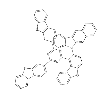 C1=CC(c2nc(-c3ccc4c(c3)oc3ccccc34)nc(-c3c(-n4c5ccccc5c5cc6ccccc6cc54)ccc4oc5ccccc5c34)n2)Cc2sc3ccccc3c21